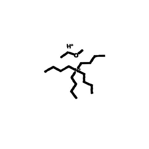 CCCC[N+](CCCC)(CCCC)CCCC.CCOC.[H+]